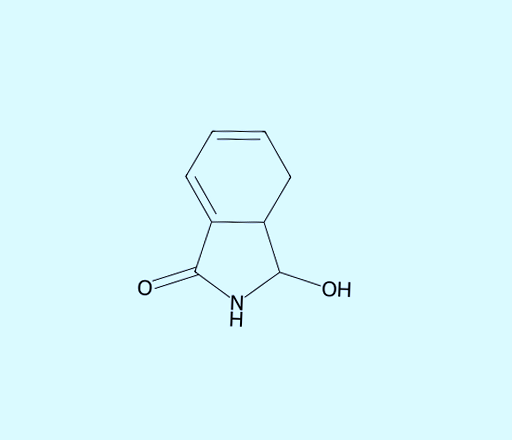 O=C1NC(O)C2CC=CC=C12